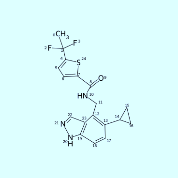 CC(F)(F)c1ccc(C(=O)NCc2c(C3CC3)ccc3[nH]ncc23)s1